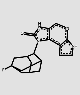 O=c1[nH]c2cnc3[nH]ccc3c2n1C1C2CC3CC1CC(F)(C3)C2